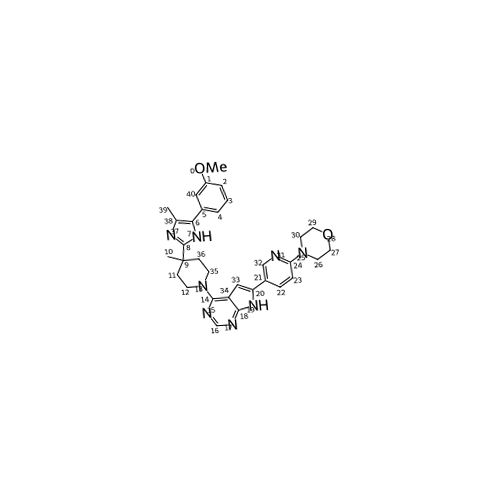 COc1cccc(-c2[nH]c(C3(C)CCN(c4ncnc5[nH]c(-c6ccc(N7CCOCC7)nc6)cc45)CC3)nc2C)c1